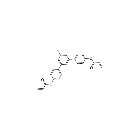 C=CC(=O)Oc1ccc(-c2cc(C)cc(-c3ccc(OC(=O)C=C)cc3)c2)cc1